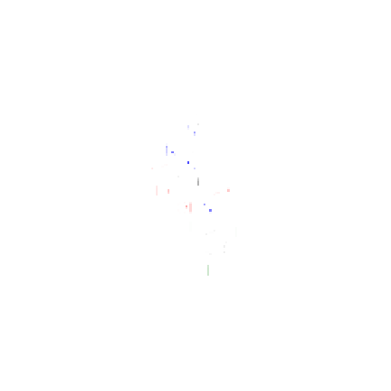 O=C(NCc1c(F)cc(F)cc1F)C1=CN2C(=C(O)C1O)C(=O)N1CCN(C(F)(F)F)CC2C1